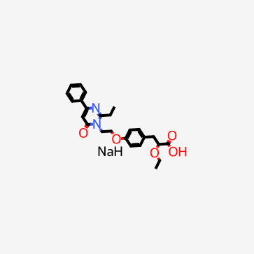 CCOC(Cc1ccc(OCCn2c(CC)nc(-c3ccccc3)cc2=O)cc1)C(=O)O.[NaH]